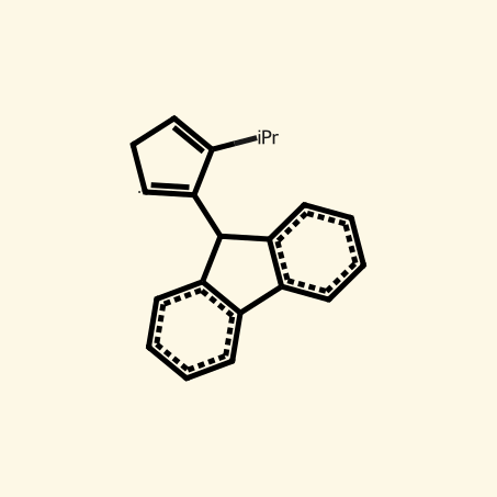 CC(C)C1=CC[C]=C1C1c2ccccc2-c2ccccc21